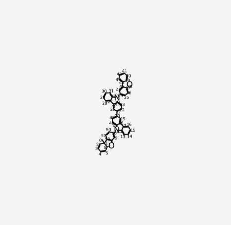 CC12C=CC=CC1Oc1cc(-n3c4ccccc4c4cc(-c5ccc6c(c5)c5ccccc5n6-c5ccc6oc7ccccc7c6c5)ccc43)ccc12